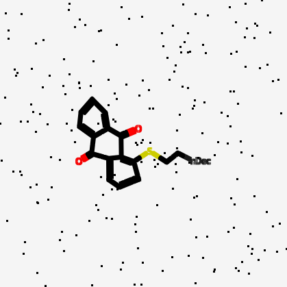 CCCCCCCCCCCCSc1cccc2c1C(=O)c1ccccc1C2=O